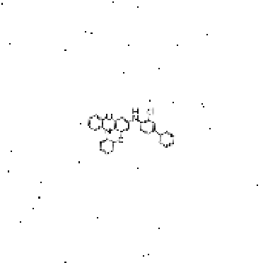 Clc1cc(-c2ccccc2)ccc1Nc1cc2c3c(c1)Oc1ccccc1N3c1ccccc1O2